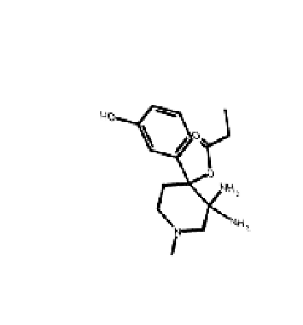 CCC(=O)OC1(c2cccc(O)c2)CCN(C)CC1(N)N